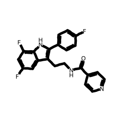 O=C(NCCc1c(-c2ccc(F)cc2)[nH]c2c(F)cc(F)cc12)c1ccncc1